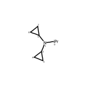 CC(C)N(C1CC1)C1CC1